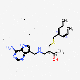 C/C=C\C(=C/CC)CSC[C@@H](CNCc1c[nH]c2c(N)ncnc12)[C@@H](C)O